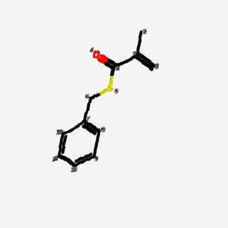 C=C(C)C(=O)SCc1ccccc1